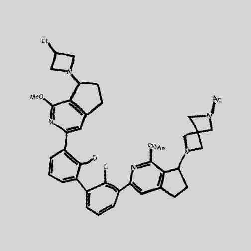 CCC1CN(C2CCc3cc(-c4cccc(-c5cccc(-c6cc7c(c(OC)n6)C(N6CC8(CN(C(C)=O)C8)C6)CC7)c5Cl)c4Cl)nc(OC)c32)C1